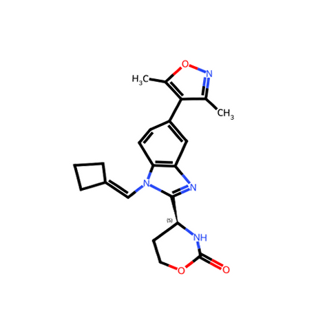 Cc1noc(C)c1-c1ccc2c(c1)nc([C@@H]1CCOC(=O)N1)n2C=C1CCC1